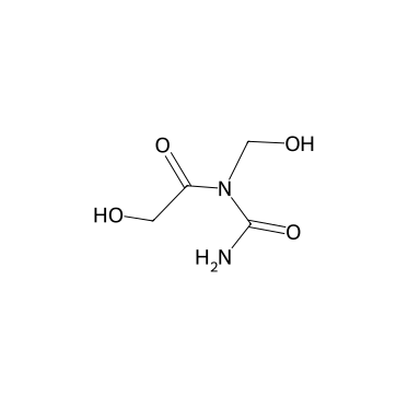 NC(=O)N(CO)C(=O)CO